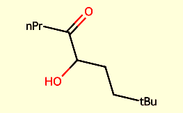 CCCC(=O)C(O)CCC(C)(C)C